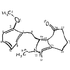 COc1ccccc1Cc1c2c(nn1C)CCCC2=O